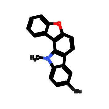 Cn1c2ccc(C(C)(C)C)cc2c2ccc3oc4ccccc4c3c21